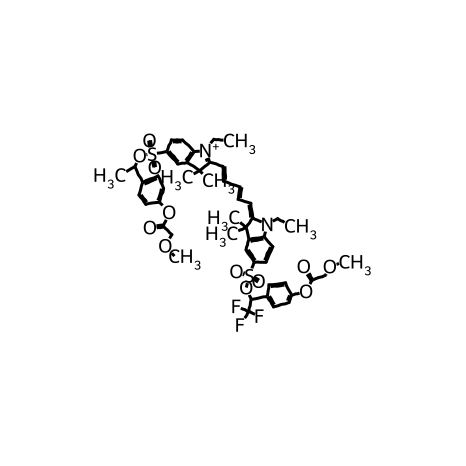 CCN1/C(=C/C=C/C=C/C2=[N+](CC)c3ccc(S(=O)(=O)OC(C)c4ccc(OC(=O)COC)cc4)cc3C2(C)C)C(C)(C)c2cc(S(=O)(=O)OC(c3ccc(OC(=O)COC)cc3)C(F)(F)F)ccc21